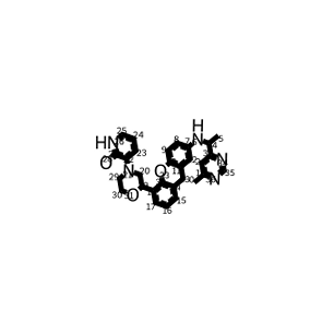 Cc1cc(C(C)Nc2ccc3c(c2)Cc2cccc(C4CN(c5ccc[nH]c5=O)CCO4)c2O3)ncn1